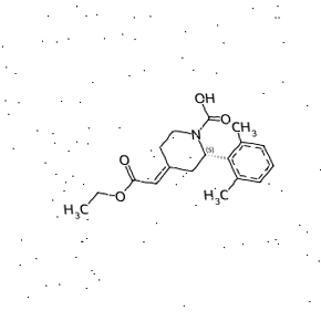 CCOC(=O)C=C1CCN(C(=O)O)[C@H](c2c(C)cccc2C)C1